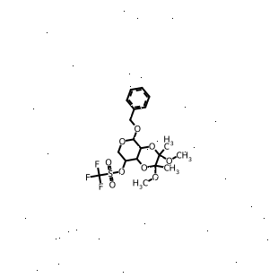 COC1(C)OC2C(OS(=O)(=O)C(F)(F)F)COC(OCc3ccccc3)C2OC1(C)OC